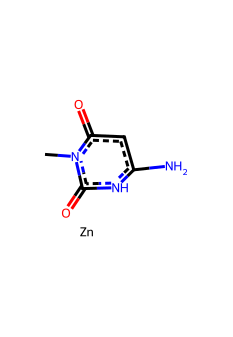 Cn1c(=O)cc(N)[nH]c1=O.[Zn]